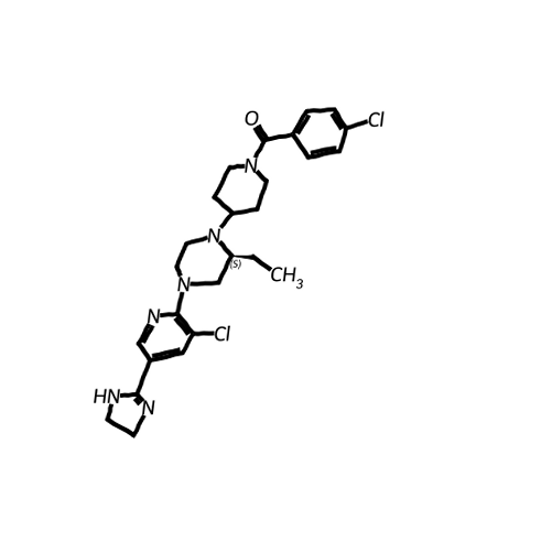 CC[C@H]1CN(c2ncc(C3=NCCN3)cc2Cl)CCN1C1CCN(C(=O)c2ccc(Cl)cc2)CC1